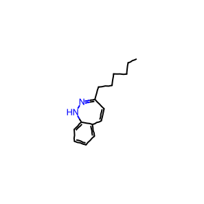 CCCCCCC1=NNc2ccccc2C=C1